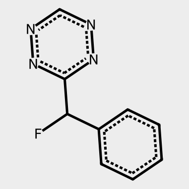 FC(c1ccccc1)c1nncnn1